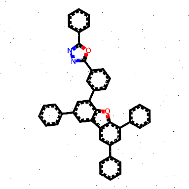 c1ccc(-c2cc(-c3ccccc3)c3oc4c(-c5cccc(-c6nnc(-c7ccccc7)o6)c5)cc(-c5ccccc5)cc4c3c2)cc1